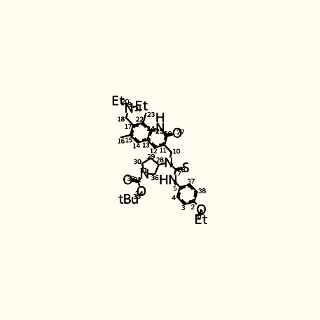 CCOc1ccc(NC(=S)N(Cc2cc3cc(C)c(CN(CC)CC)c(C)c3[nH]c2=O)C2CCN(C(=O)OC(C)(C)C)C2)cc1